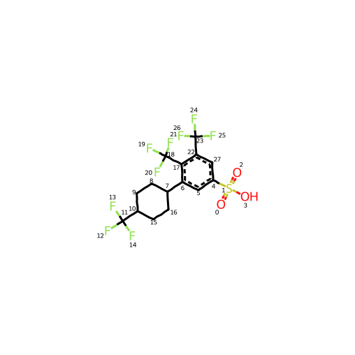 O=S(=O)(O)c1cc(C2CCC(C(F)(F)F)CC2)c(C(F)(F)F)c(C(F)(F)F)c1